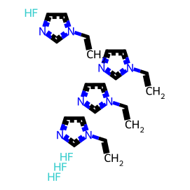 C=Cn1ccnc1.C=Cn1ccnc1.C=Cn1ccnc1.C=Cn1ccnc1.F.F.F.F